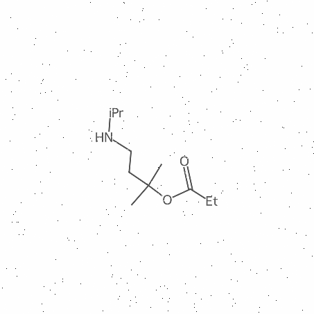 CCC(=O)OC(C)(C)CCNC(C)C